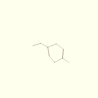 C[C@@H](N)C1CCC(F)CC1